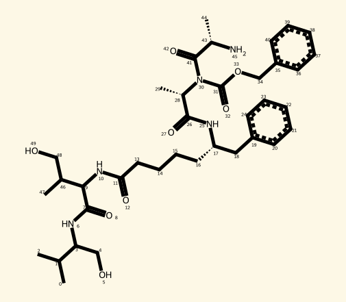 CC(C)C(CO)NC(=O)C(NC(=O)CCCC[C@@H](Cc1ccccc1)NC(=O)[C@H](C)N(C(=O)OCc1ccccc1)C(=O)[C@H](C)N)C(C)CO